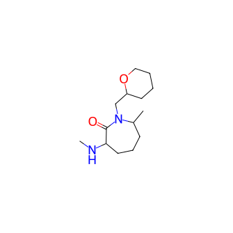 CNC1CCCC(C)N(CC2CCCCO2)C1=O